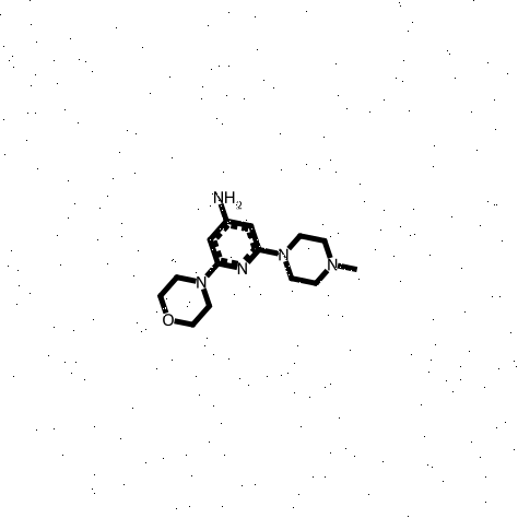 CN1CCN(c2cc(N)cc(N3CCOCC3)n2)CC1